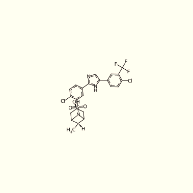 C[C@H]1C2C[C@H](O)CC1N2S(=O)(=O)c1cc(-c2ncc(-c3ccc(Cl)c(C(F)(F)F)c3)[nH]2)ccc1Cl